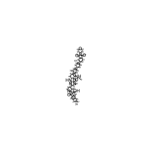 C=CC(=O)Nc1cc(Nc2nc(-c3ccnc(N4CCn5c(cc6c5CC(C)(C)C6)C4=O)c3CO)cn(C)c2=O)ccc1N1CCN(C2CCN(c3ccc4c(c3)C(=O)N(C3CCOCC3)C4=O)[C@@H](C)C2)C[C@@H]1C